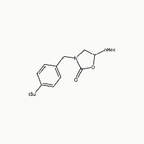 CCCCCCC1CN(Cc2ccc(C(C)(C)C)cc2)C(=O)O1